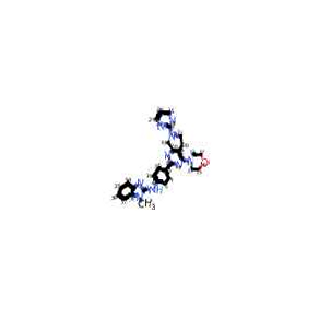 Cn1c(Nc2ccc(-c3nc4c(c(N5CCOCC5)n3)CCN(c3ncccn3)C4)cc2)nc2ccccc21